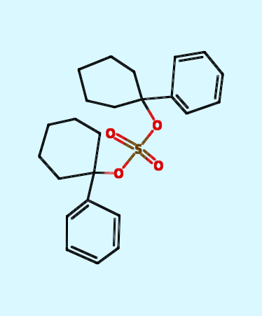 O=S(=O)(OC1(c2ccccc2)CCCCC1)OC1(c2ccccc2)CCCCC1